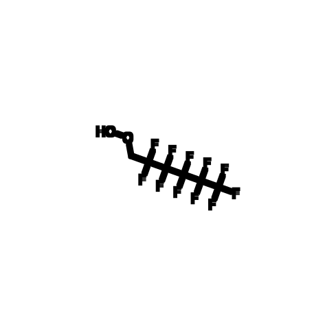 OOCC(F)(F)C(F)(F)C(F)(F)C(F)(F)C(F)(F)F